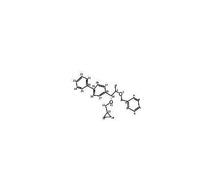 CC(OCc1ccccc1)[C@H](OCC1CC1)c1ccc(-c2ccccc2)cc1